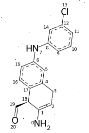 NC1=CCc2cc(Nc3cccc(Cl)c3)ccc2[C@@H]1C=O